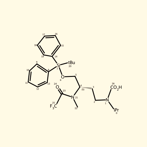 CC(C)N(CC[C@@H](CO[Si](c1ccccc1)(c1ccccc1)C(C)(C)C)N(C)C(=O)C(F)(F)F)C(=O)O